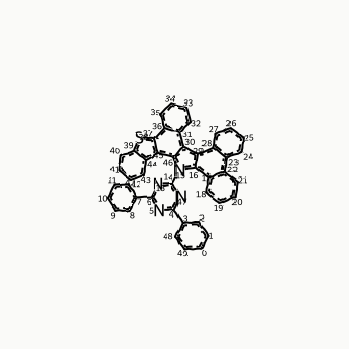 c1ccc(-c2nc(-c3ccccc3)nc(-n3c4c5ccccc5c5ccccc5c4c4c5ccccc5c5sc6ccccc6c5c43)n2)cc1